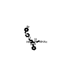 CC(=O)NCCNc1nc(-c2ccccc2)nc2[nH]c(COC3CCN(Cc4ccc(Br)cc4)CC3)cc12